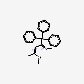 C/N=C(/C=C(/C)OC)C(c1ccccc1)(c1ccccc1)c1ccccc1